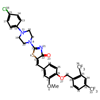 COc1cc(C=C2SC(N3CCN(c4ccc(Cl)cc4)CC3)=NC2=O)ccc1OCc1ccc(C(F)(F)F)cc1C(F)(F)F